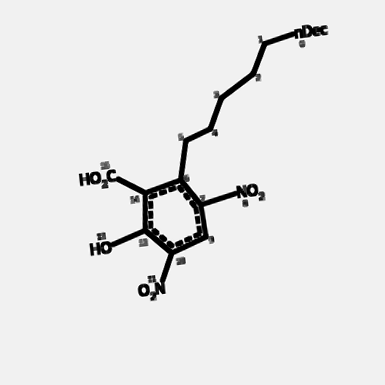 CCCCCCCCCCCCCCCc1c([N+](=O)[O-])cc([N+](=O)[O-])c(O)c1C(=O)O